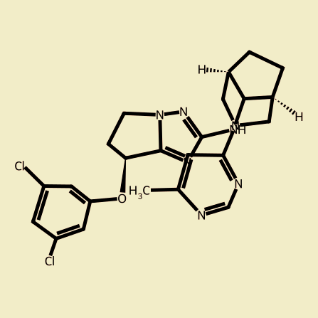 Cc1cc(N2C[C@H]3CC[C@@H](C2)C3Nc2nc3n(n2)CC[C@@H]3Oc2cc(Cl)cc(Cl)c2)ncn1